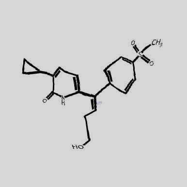 CS(=O)(=O)c1ccc(/C(=C/CCO)c2ccc(C3CC3)c(=O)[nH]2)cc1